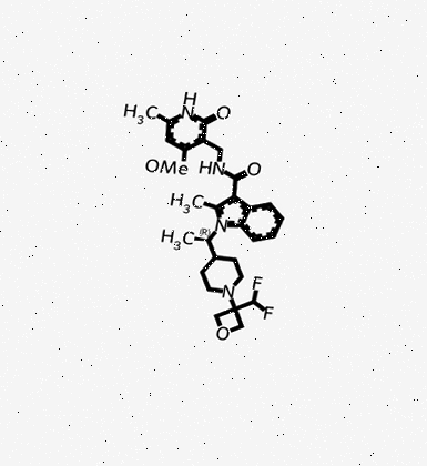 COc1cc(C)[nH]c(=O)c1CNC(=O)c1c(C)n([C@H](C)C2CCN(C3(C(F)F)COC3)CC2)c2ccccc12